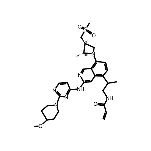 C=CC(=O)NCC(C)c1ccc(N2C[C@H](CS(C)(=O)=O)[C@H]2C)c2cnc(Nc3ccnc(N4CCC(OC)CC4)n3)cc12